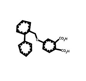 O=C(O)c1ccc(OCc2ccccc2-c2ccccc2)cc1C(=O)O